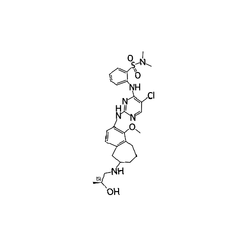 COc1c(Nc2ncc(Cl)c(Nc3ccccc3S(=O)(=O)N(C)C)n2)ccc2c1CCCC(NC[C@H](C)O)C2